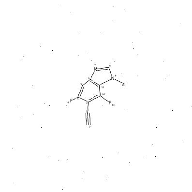 C#Cc1c(F)cc2ncn(C)c2c1F